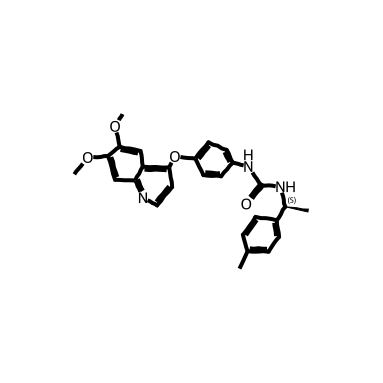 COc1cc2nccc(Oc3ccc(NC(=O)N[C@@H](C)c4ccc(C)cc4)cc3)c2cc1OC